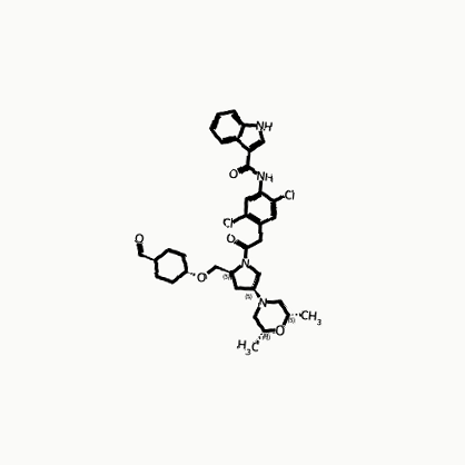 C[C@@H]1CN([C@H]2C[C@@H](CO[C@H]3CC[C@H](C=O)CC3)N(C(=O)Cc3cc(Cl)c(NC(=O)c4c[nH]c5ccccc45)cc3Cl)C2)C[C@H](C)O1